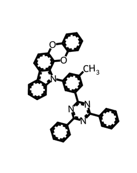 Cc1cc(-c2nc(-c3ccccc3)nc(-c3ccccc3)n2)cc(-n2c3ccccc3c3ccc4c(c32)Oc2ccccc2O4)c1